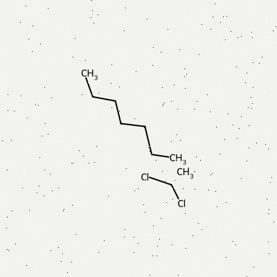 CCCCCCC.ClCCl.[CH3]